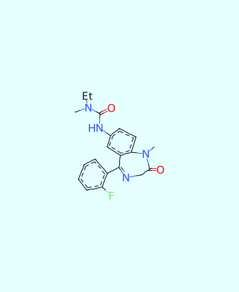 CCN(C)C(=O)Nc1ccc2c(c1)C(c1ccccc1F)=NCC(=O)N2C